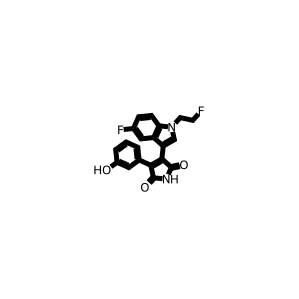 O=C1NC(=O)C(c2cn(CCF)c3ccc(F)cc23)=C1c1cccc(O)c1